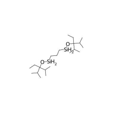 CCC(O[SiH2]CCC[SiH2]OC(CC)(C(C)C)C(C)C)(C(C)C)C(C)C